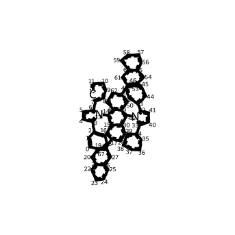 C1=CC(c2ccc(-c3ccccc3)n2-c2c3cc(-c4ccc5ccccc5c4)ccc3c(-n3c(-c4ccccc4)ccc3-c3ccccc3)c3cc(-c4ccc5ccccc5c4)ccc23)=CCC1